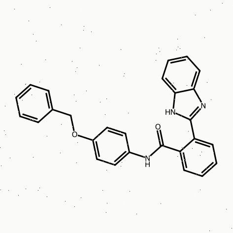 O=C(Nc1ccc(OCc2ccccc2)cc1)c1ccccc1-c1nc2ccccc2[nH]1